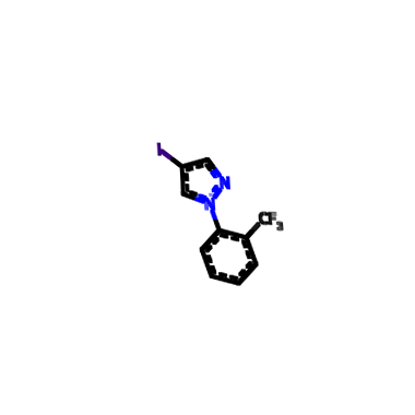 FC(F)(F)c1ccccc1-n1cc(I)cn1